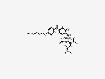 CCCCCCOc1ccc(Nc2ccc(NS(=O)(=O)c3c(C(C)C)cc(C(C)C)cc3C(C)C)c(Cl)c2)cc1